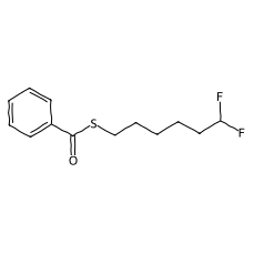 O=C(SCCCCCC(F)F)c1ccccc1